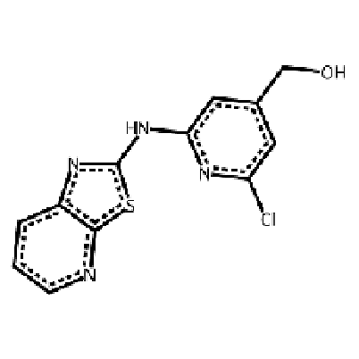 OCc1cc(Cl)nc(Nc2nc3cccnc3s2)c1